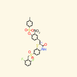 Cc1ccc(S(=O)(=O)Oc2ccc(/C=C3\Sc4cc(S(=O)(=O)Cc5c(F)cccc5F)ccc4NC3=O)cc2[N+](=O)[O-])cc1